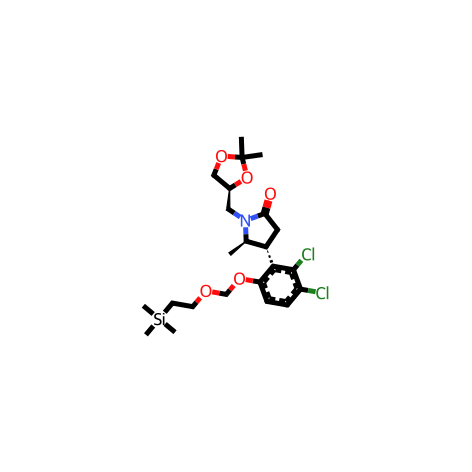 C[C@@H]1[C@@H](c2c(OCOCC[Si](C)(C)C)ccc(Cl)c2Cl)CC(=O)N1C[C@H]1COC(C)(C)O1